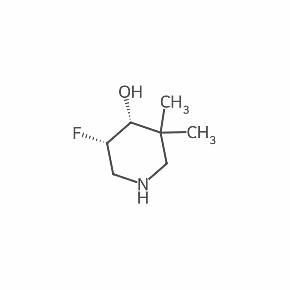 CC1(C)CNC[C@H](F)[C@@H]1O